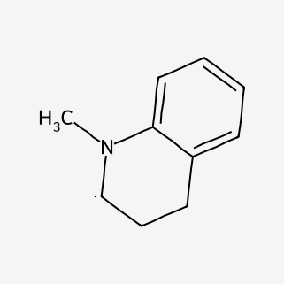 CN1[CH]CCc2ccccc21